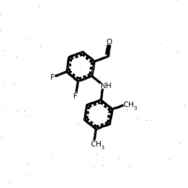 Cc1ccc(Nc2c(C=O)ccc(F)c2F)c(C)c1